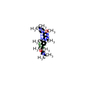 COc1nc2nc(C)nc(N[C@H](C)c3cccc(C(F)(F)C(C)(C)OC4CN(C(C)C)C4)c3F)c2cc1N1CCN(C(C)C)CC1